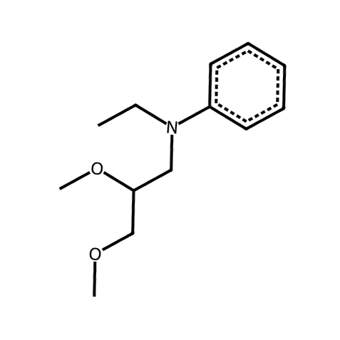 CCN(CC(COC)OC)c1ccccc1